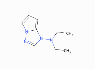 CCN(CC)n1cnn2cccc12